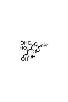 CCCC(=O)O[C@@H](C=O)[C@@H](O)[C@H](O)[C@H](O)CO